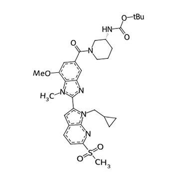 COc1cc(C(=O)N2CCC[C@@H](NC(=O)OC(C)(C)C)C2)cc2nc(-c3cc4ccc(S(C)(=O)=O)nc4n3CC3CC3)n(C)c12